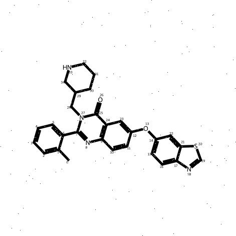 Cc1ccccc1-c1nc2ccc(Oc3ccc4ncsc4c3)cc2c(=O)n1CC1CCCNC1